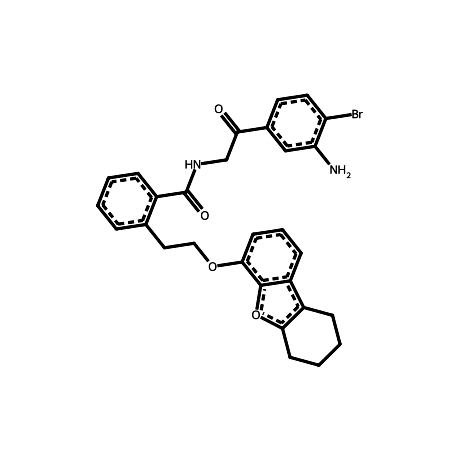 Nc1cc(C(=O)CNC(=O)c2ccccc2CCOc2cccc3c4c(oc23)CCCC4)ccc1Br